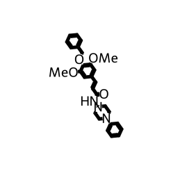 COc1cc(C=CC(=O)NN2CCN(c3ccccc3)CC2)cc(OC)c1OCc1ccccc1